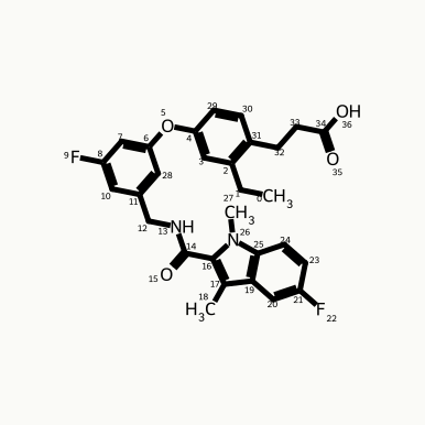 CCc1cc(Oc2cc(F)cc(CNC(=O)c3c(C)c4cc(F)ccc4n3C)c2)ccc1CCC(=O)O